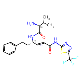 CC(C)[C@H](N)C(=O)N[C@H](/C=C/C(=O)Nc1nnc(C(F)(F)F)s1)CCc1ccccc1